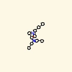 c1ccc(-c2ccc(-c3ccc4c(c3)c3ccccc3n4-c3ccccc3-c3ccc(N(c4ccc(-c5ccccc5)cc4)c4ccc(-c5ccccc5)cc4)cc3)cc2)cc1